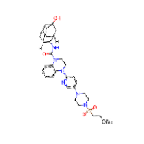 COCCS(=O)(=O)N1CCN(c2ccc(N3CCN(C(=O)NC4[C@@H]5CC6C[C@H]4CC(O)(C6)C5)c4ccccc43)nc2)CC1